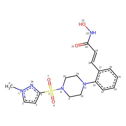 Cn1ccc(S(=O)(=O)N2CCN(c3ccccc3C=CC(=O)NO)CC2)n1